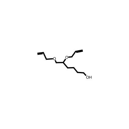 C=CCOCC(CCCCO)OCC=C